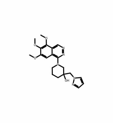 COc1cc2c(N3CCCC(O)(Cn4cccn4)C3)nncc2c(OC)c1OC